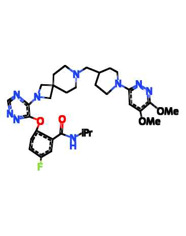 COc1cc(N2CCC(CN3CCC4(CC3)CN(c3ncnnc3Oc3ccc(F)cc3C(=O)NC(C)C)C4)CC2)nnc1OC